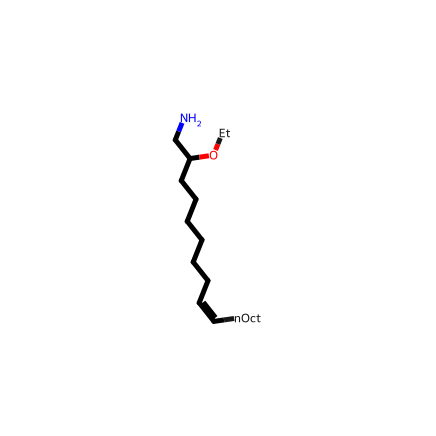 CCCCCCCC/C=C\CCCCCCC(CN)OCC